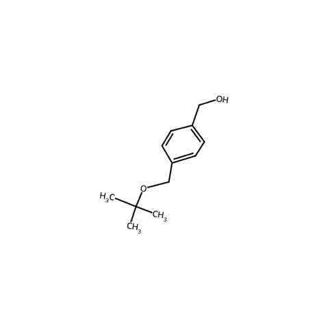 CC(C)(C)OCc1ccc(CO)cc1